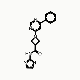 O=C(Nc1nccs1)C1CN(c2cc(-c3ccccc3)ncn2)C1